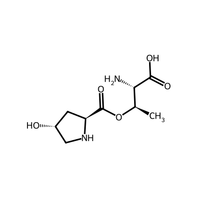 C[C@@H](OC(=O)[C@@H]1C[C@@H](O)CN1)[C@H](N)C(=O)O